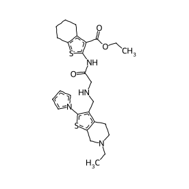 CCOC(=O)c1c(NC(=O)CNCc2c(-n3cccc3)sc3c2CCN(CC)C3)sc2c1CCCC2